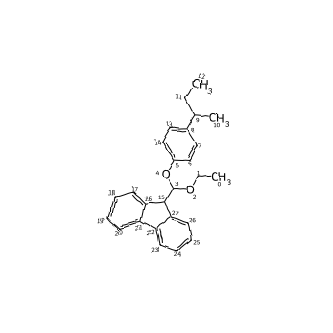 CCOC(Oc1ccc(C(C)CC)cc1)C1c2ccccc2-c2ccccc21